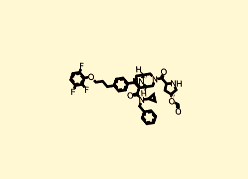 O=CO[C@H]1CNC(C(=O)N2C[C@@H]3CC(c4ccc(CCCOc5c(F)ccc(F)c5F)cc4)=C(C(=O)N(Cc4ccccc4)C4CC4)[C@H](C2)N3)C1